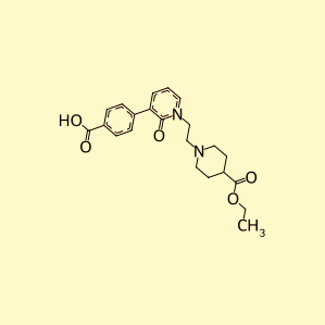 CCOC(=O)C1CCN(CCn2cccc(-c3ccc(C(=O)O)cc3)c2=O)CC1